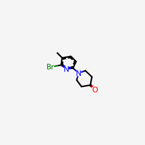 Cc1ccc(N2CCC(=O)CC2)nc1Br